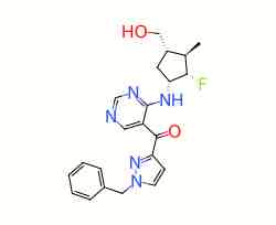 C[C@@H]1[C@@H](CO)C[C@@H](Nc2ncncc2C(=O)c2ccn(Cc3ccccc3)n2)[C@H]1F